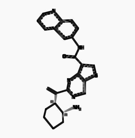 C=C(c1ncc2scc(C(=O)Nc3ccc4ncccc4c3)c2n1)[C@H]1CCCC[C@H]1N